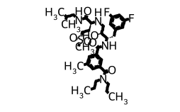 CCCN(CCC)C(=O)c1cc(C)cc(C(=O)N[C@@H](Cc2cc(F)cc(F)c2)[C@H](O)CN[C@@H](CCS(C)(=O)=O)C(=O)NCC(C)C)c1